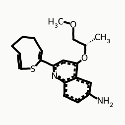 COC[C@H](C)Oc1cc(/C2=C/CCC/C=C/S2)nc2ccc(N)cc12